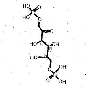 O=C(COP(=O)(O)O)[C@H](O)[C@H](O)[C@H](O)COP(=O)(O)O